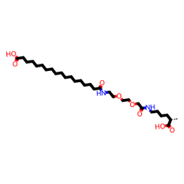 C[C@@H](CCCCNC(=O)COCCOCCNC(=O)CCCCCCCCCCCCCCCCC(=O)O)C(=O)O